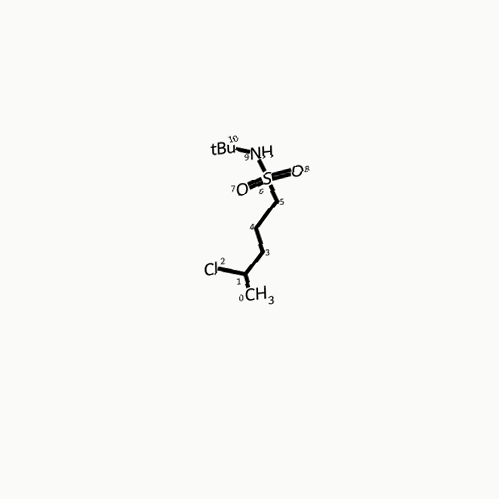 CC(Cl)CCCS(=O)(=O)NC(C)(C)C